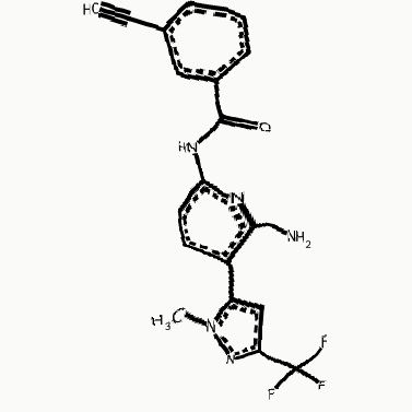 C#Cc1cccc(C(=O)Nc2ccc(-c3cc(C(F)(F)F)nn3C)c(N)n2)c1